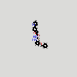 O=C(NC(=S)Nc1cccc(OCc2ccccc2)c1)c1cc2cc(-c3ccccn3)ccc2o1